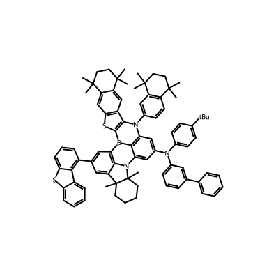 CC(C)(C)c1ccc(N(c2cccc(-c3ccccc3)c2)c2cc3c4c(c2)N2c5c(cc(-c6cccc7sc8ccccc8c67)cc5C5(C)CCCCC25C)B4c2sc4cc5c(cc4c2N3c2ccc3c(c2)C(C)(C)CCC3(C)C)C(C)(C)CCC5(C)C)cc1